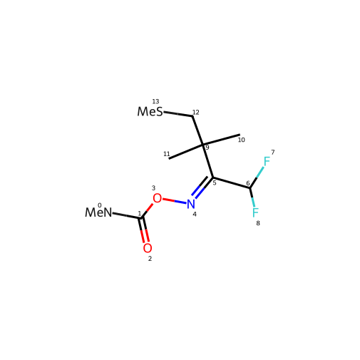 CNC(=O)ON=C(C(F)F)C(C)(C)CSC